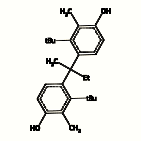 CCC(C)(c1ccc(O)c(C)c1C(C)(C)C)c1ccc(O)c(C)c1C(C)(C)C